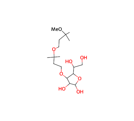 COC(C)(C)CCOC(C)(C)CCOC1C(O)C(O)OC1C(O)CO